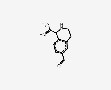 N=C(N)C1NCCc2cc(C=O)ccc21